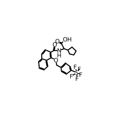 O=C(NC(C(=O)O)C1CCCC1)c1ccc2ccccc2c1OCc1ccc(S(F)(F)(F)(F)F)cc1